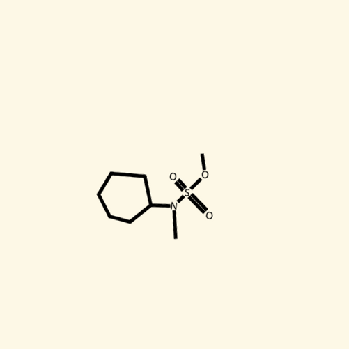 COS(=O)(=O)N(C)C1CCCCC1